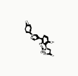 O=C1CN(c2c(O)ccc(-c3cnn(C4CCC(C(F)(F)F)CC4)c3)c2F)S(=O)(=O)N1